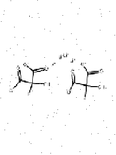 CC(F)(C(=O)[O-])C(=O)[O-].CC(F)(C(=O)[O-])C(=O)[O-].[Li+].[Li+].[Li+].[Li+]